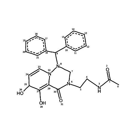 CC(=O)NCCN1CN(C(c2ccccc2)c2ccccc2)N2C=CC(O)C(O)=C2C1=O